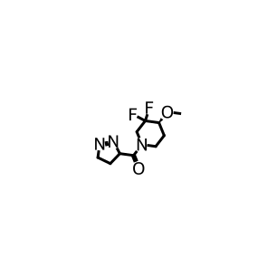 CO[C@H]1CCN(C(=O)C2CCN=N2)CC1(F)F